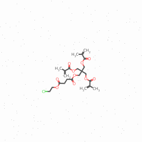 C=C(C)C(=O)OCC(COC(=O)CCC(=O)OCCCl)(COC(=O)C(=C)C)COC(=O)C(=C)C